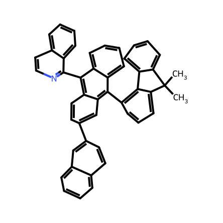 CC1(C)c2ccccc2-c2c(-c3c4ccccc4c(-c4nccc5ccccc45)c4ccc(-c5ccc6ccccc6c5)cc34)cccc21